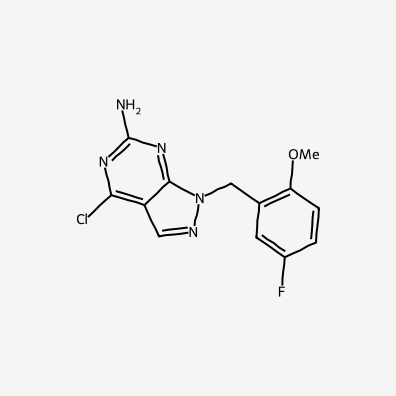 COc1ccc(F)cc1Cn1ncc2c(Cl)nc(N)nc21